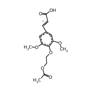 COc1cc(/C=C/C(=O)O)cc(OC)c1OCCOC(C)=O